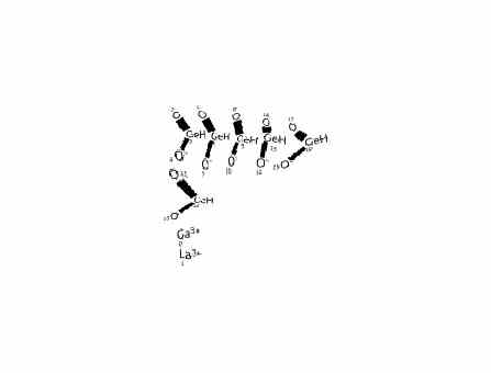 [Ga+3].[La+3].[O]=[GeH][O-].[O]=[GeH][O-].[O]=[GeH][O-].[O]=[GeH][O-].[O]=[GeH][O-].[O]=[GeH][O-]